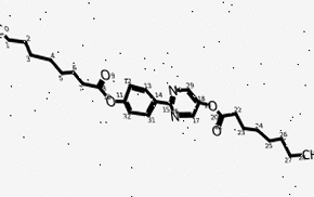 CCCCCCCCC(=O)Oc1ccc(-c2ncc(OC(=O)CCCCCCC)cn2)cc1